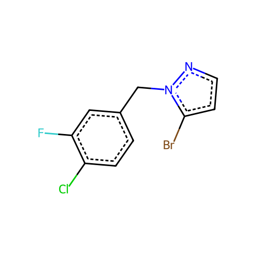 Fc1cc(Cn2nccc2Br)ccc1Cl